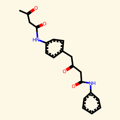 CC(=O)CC(=O)Nc1ccc(CC(=O)CC(=O)Nc2ccccc2)cc1